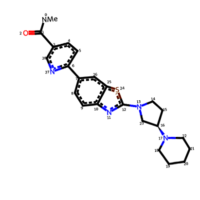 CNC(=O)c1ccc(-c2ccc3nc(N4CC[C@@H](N5CCCCC5)C4)sc3c2)nc1